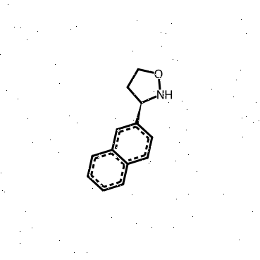 c1ccc2cc([C@H]3CCON3)ccc2c1